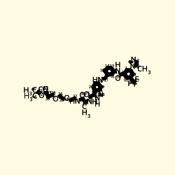 Cc1cncn1-c1cc(C(=O)Nc2cccc(CNc3ccc4c(C(=O)N[C@@H](C)C(=O)NCCOCCOCCC(=O)OC(C)(C)C)[nH]nc4c3)c2)cc(C(F)(F)F)c1